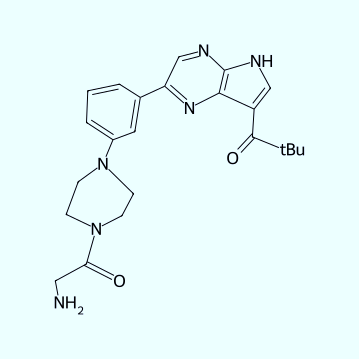 CC(C)(C)C(=O)c1c[nH]c2ncc(-c3cccc(N4CCN(C(=O)CN)CC4)c3)nc12